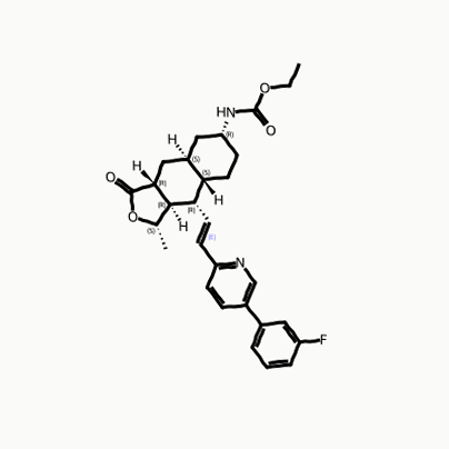 CCOC(=O)N[C@@H]1CC[C@H]2[C@H](C1)C[C@H]1C(=O)O[C@@H](C)[C@@H]1[C@H]2/C=C/c1ccc(-c2cccc(F)c2)cn1